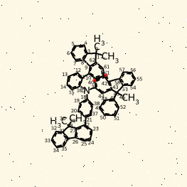 CC1(C)c2ccccc2-c2c(-c3ccccc3N(c3ccc(-c4cccc5c4C(C)(C)c4ccccc4-5)cc3)c3ccc4c(c3)C(C)(c3ccccc3)c3ccccc3-4)cccc21